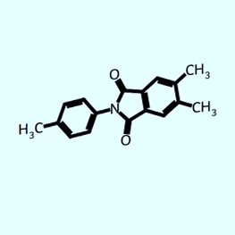 Cc1ccc(N2C(=O)c3cc(C)c(C)cc3C2=O)cc1